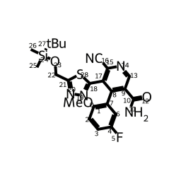 COc1ccc(F)cc1-c1c(C(N)=O)cnc(C#N)c1-c1nnc(CO[Si](C)(C)C(C)(C)C)s1